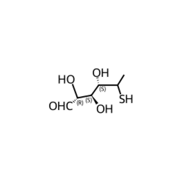 CC(S)[C@@H](O)[C@@H](O)[C@@H](O)C=O